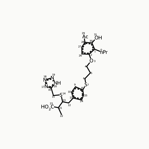 CCCc1c(OCCCSc2ccc(CC(SCc3nnn[nH]3)C(C)C(=O)O)cc2)ccc(C(C)=O)c1O